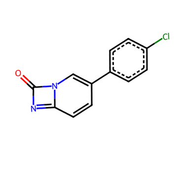 O=C1N=C2C=CC(c3ccc(Cl)cc3)=CN12